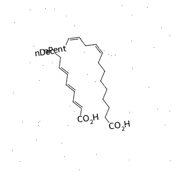 CCCCC/C=C\C/C=C\CCCCCCCC(=O)O.CCCCCCCCCCCC=CC=CC=CC(=O)O